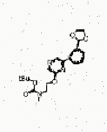 CN(CCOc1cncc(-c2cccc(C3OCCO3)c2)n1)C(=O)OC(C)(C)C